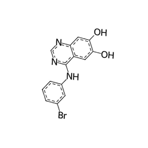 Oc1cc2ncnc(Nc3cccc(Br)c3)c2cc1O